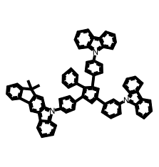 CC1(C)c2ccccc2-c2cc3c4ccccc4n(-c4ccc(-c5cc(-c6cccc(-n7c8ccccc8c8ccccc87)c6)cc(-c6ccc(-n7c8ccccc8c8ccccc87)cc6)c5-c5ccccc5)cc4)c3cc21